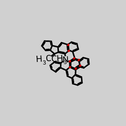 CC1(C)c2ccccc2-c2cccc(N(c3ccccc3-c3cc4ccccc4c4ccccc34)c3ccc4ccccc4c3-c3ccccc3)c21